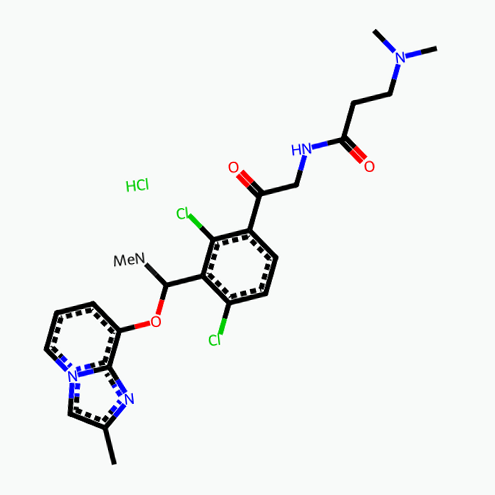 CNC(Oc1cccn2cc(C)nc12)c1c(Cl)ccc(C(=O)CNC(=O)CCN(C)C)c1Cl.Cl